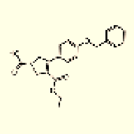 CCOC(=O)C1=C(c2ccc(OCc3ccccc3)cc2)CN(C(=O)O)C1